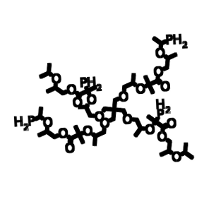 CC(C)OC(C)COC(=O)C(C)(P)OC(C)COCC(COCC(C)OC(C)(C)C(=O)OCC(C)OC(C)P)(COCC(C)OC(C)(C)C(=O)OCC(C)OC(C)P)COCC(C)OC(C)(P)C(=O)OCC(C)OC(C)C